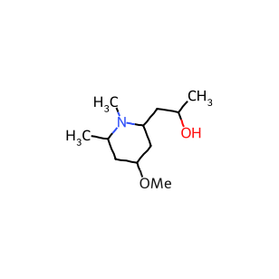 COC1CC(C)N(C)C(CC(C)O)C1